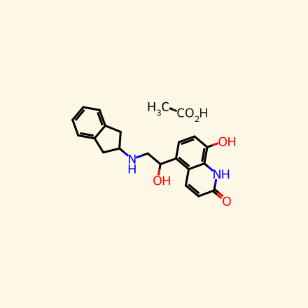 CC(=O)O.O=c1ccc2c(C(O)CNC3Cc4ccccc4C3)ccc(O)c2[nH]1